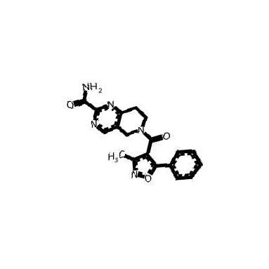 Cc1noc(-c2ccccc2)c1C(=O)N1CCc2nc(C(N)=O)ncc2C1